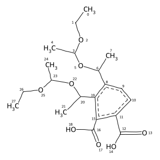 CCOC(C)OC(C)c1ccc(C(=O)O)c(C(=O)O)c1C(C)OC(C)OCC